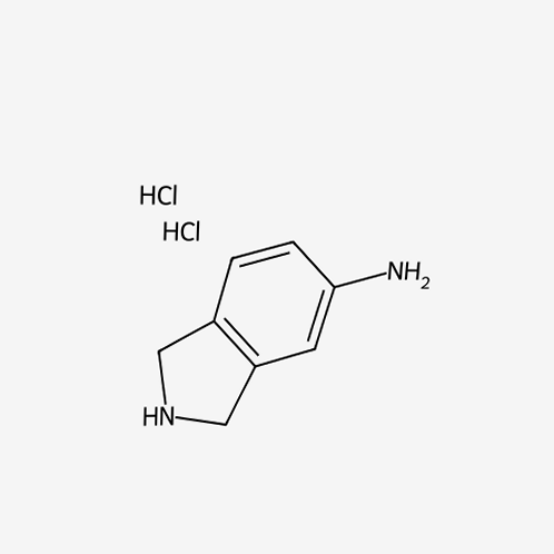 Cl.Cl.Nc1ccc2c(c1)CNC2